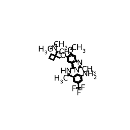 COc1cc2nc(C)nc(N[C@H](C)c3cc(N)cc(C(F)(F)F)c3)c2cc1OCC1([C@@H](C)N(C)C)CCC1